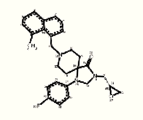 Cc1cccc2cccc(CN3CCC4(CC3)C(=O)N(C[C@@H]3CO3)CN4c3ccc(F)cc3)c12